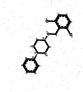 Clc1cccc(Cl)c1CO[C@H]1CO[C@@H](c2ccccc2)OC1